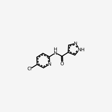 O=C(Nc1ccc(Cl)cn1)c1cn[nH]c1